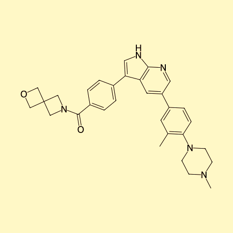 Cc1cc(-c2cnc3[nH]cc(-c4ccc(C(=O)N5CC6(COC6)C5)cc4)c3c2)ccc1N1CCN(C)CC1